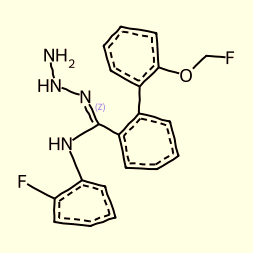 NN/N=C(\Nc1ccccc1F)c1ccccc1-c1ccccc1OCF